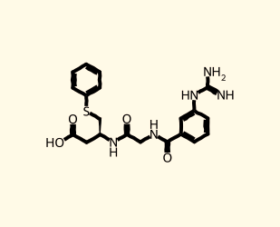 N=C(N)Nc1cccc(C(=O)NCC(=O)N[C@H](CSc2ccccc2)CC(=O)O)c1